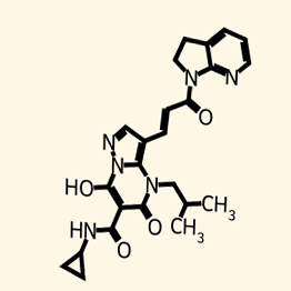 CC(C)Cn1c(=O)c(C(=O)NC2CC2)c(O)n2ncc(C=CC(=O)N3CCc4cccnc43)c12